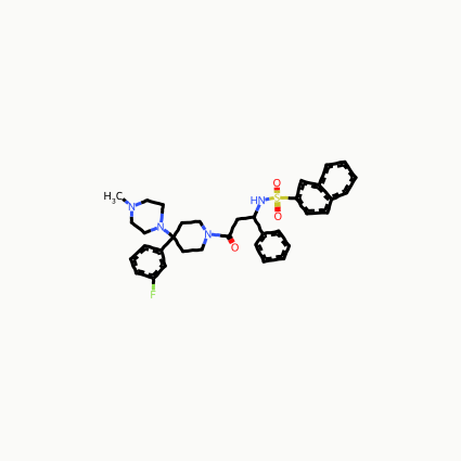 CN1CCN(C2(c3cccc(F)c3)CCN(C(=O)CC(NS(=O)(=O)c3ccc4ccccc4c3)c3ccccc3)CC2)CC1